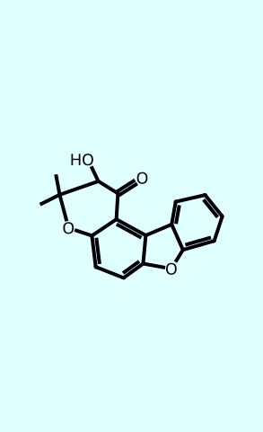 CC1(C)Oc2ccc3oc4ccccc4c3c2C(=O)C1O